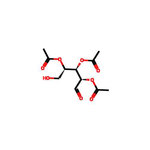 CC(=O)O[C@@H]([C@H](CO)OC(C)=O)[C@@H](C=O)OC(C)=O